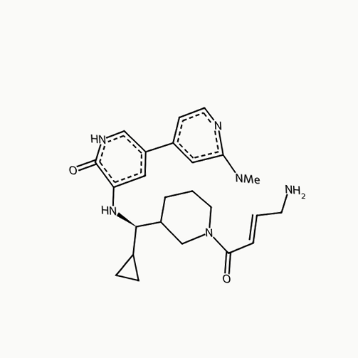 CNc1cc(-c2c[nH]c(=O)c(N[C@H](C3CC3)C3CCCN(C(=O)/C=C/CN)C3)c2)ccn1